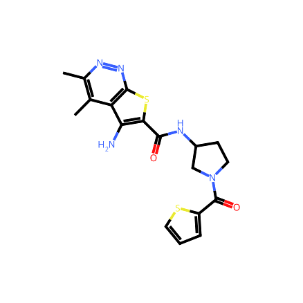 Cc1nnc2sc(C(=O)NC3CCN(C(=O)c4cccs4)C3)c(N)c2c1C